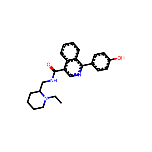 CCN1CCCCC1CNC(=O)c1cnc(-c2ccc(O)cc2)c2ccccc12